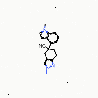 Cn1ccc2c(C3(C#N)CCc4n[nH]cc4C3)cccc21